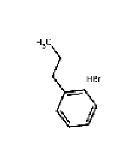 Br.CCCc1ccccc1